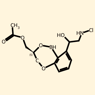 CC(=O)OC[C@@H]1COc2cccc(C(O)CNCl)c2BO1